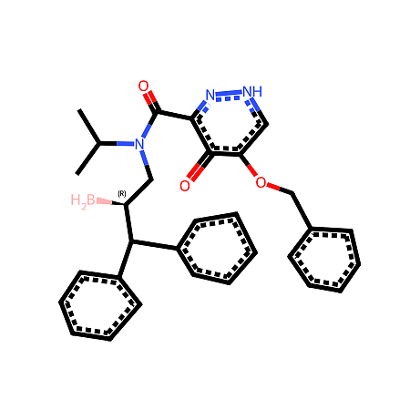 B[C@@H](CN(C(=O)c1n[nH]cc(OCc2ccccc2)c1=O)C(C)C)C(c1ccccc1)c1ccccc1